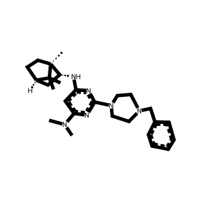 CN(C)c1cc(N[C@@H]2C[C@H]3CC[C@]2(C)C3(C)C)nc(N2CCN(Cc3ccccc3)CC2)n1